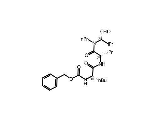 CCCC[C@H](NC(=O)OCc1ccccc1)C(=O)N[C@H](C(=O)N(CCC)[C@H](C=O)C(C)C)C(C)C